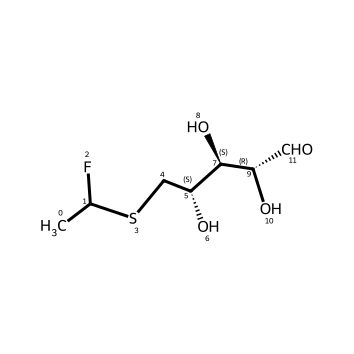 CC(F)SC[C@@H](O)[C@@H](O)[C@@H](O)C=O